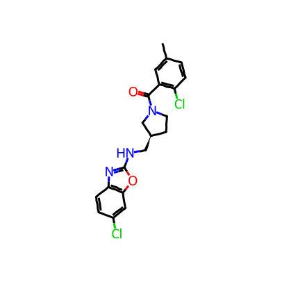 Cc1ccc(Cl)c(C(=O)N2CC[C@@H](CNc3nc4ccc(Cl)cc4o3)C2)c1